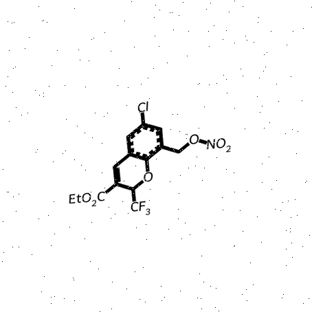 CCOC(=O)C1=Cc2cc(Cl)cc(CO[N+](=O)[O-])c2OC1C(F)(F)F